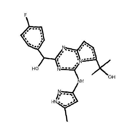 Cc1cc(Nc2nc(C(O)c3ccc(F)cc3)nc3ccc(C(C)(C)O)n23)n[nH]1